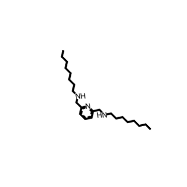 CCCCCCCCNCc1cccc(CNCCCCCCCC)n1